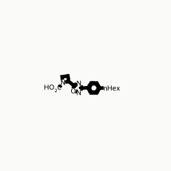 CCCCCCc1ccc(-c2noc(C3CCN3C(=O)O)n2)cc1